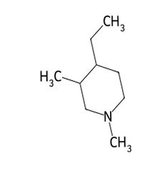 CCC1CCN(C)CC1C